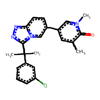 Cc1cc(-c2ccc3nnc(C(C)(C)c4cccc(Cl)c4)n3c2)cn(C)c1=O